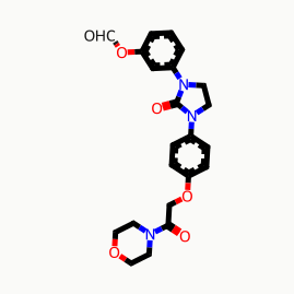 O=COc1cccc(N2CCN(c3ccc(OCC(=O)N4CCOCC4)cc3)C2=O)c1